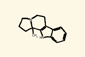 CC12CCCN1CCc1c2[nH]c2ccccc12